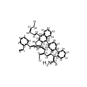 C=Cc1ccccc1C=CC/C=C\C(C=C/C(=C(/C)N)c1ccccc1-c1ccc(-c2c3c(c(C=C/C=C\CC)c4ccccc24)CC=C3)cc1)=C\C